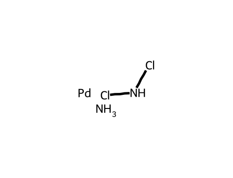 ClNCl.N.[Pd]